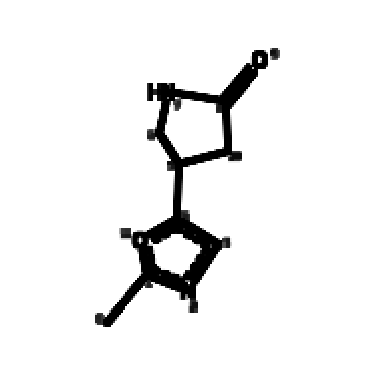 Cc1ncc(C2CNC(=O)C2)o1